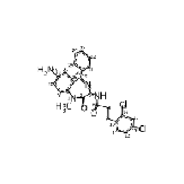 CN1C(=O)C(NC(=O)CCc2ccc(Cl)cc2Cl)N=C(c2ccccc2)c2cc(N)ccc21